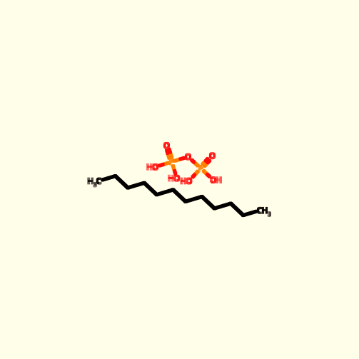 CCCCCCCCCCCC.O=P(O)(O)OP(=O)(O)O